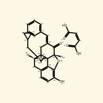 O=C(O)/C=C\C(=O)O.O=C1/C(=C/c2ccccc2)C[C@@]2(O)[C@H]3Cc4ccc(O)c5c4[C@@]2(CCN3CC2CC2)[C@H]1O5